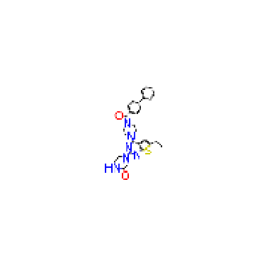 CCc1cc2c(N3CCN(C(=O)c4ccc(-c5ccccc5)cc4)CC3)nc(N3CCNC(=O)C3)nc2s1